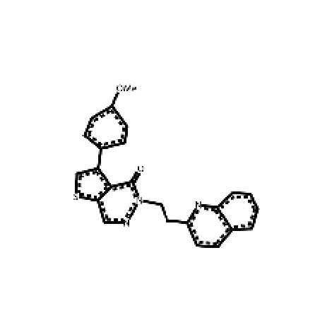 COc1ccc(-c2csc3cnn(CCc4ccc5ccccc5n4)c(=O)c23)cc1